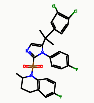 CC1CCc2cc(F)ccc2N1S(=O)(=O)c1ncc(C(C)(C)c2ccc(Cl)c(Cl)c2)n1-c1ccc(F)cc1